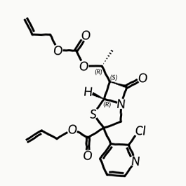 C=CCOC(=O)O[C@H](C)[C@H]1C(=O)N2CC(C(=O)OCC=C)(c3cccnc3Cl)S[C@H]12